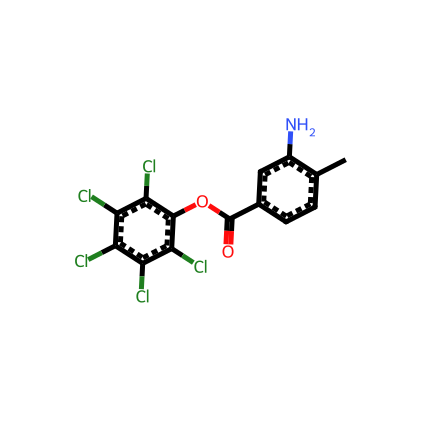 Cc1ccc(C(=O)Oc2c(Cl)c(Cl)c(Cl)c(Cl)c2Cl)cc1N